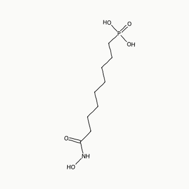 O=C(CCCCCCCCP(=O)(O)O)NO